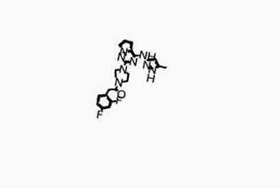 Cc1cc(Nc2nc(N3CCN(C(=O)Cc4ccc(F)cc4F)CC3)nn3cccc23)n[nH]1